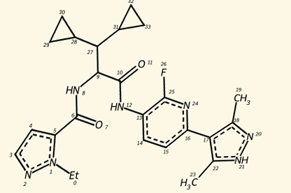 CCn1nccc1C(=O)NC(C(=O)Nc1ccc(-c2c(C)n[nH]c2C)nc1F)C(C1CC1)C1CC1